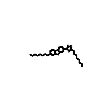 CCCCCCCCc1ccc2c(c1)Cc1cc(-c3nnc(CCCCCCCC)s3)ccc1-2